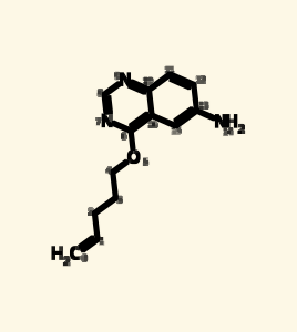 C=CCCCOc1ncnc2ccc(N)cc12